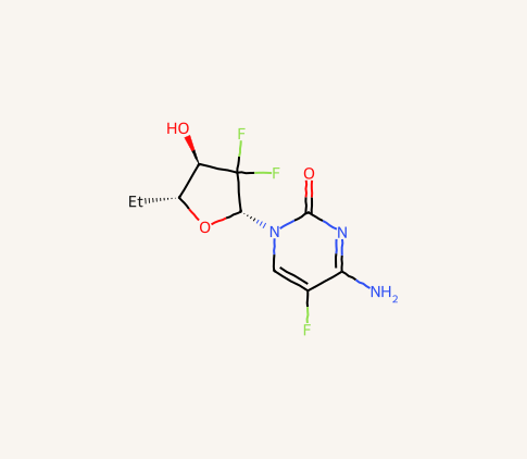 CC[C@H]1O[C@@H](n2cc(F)c(N)nc2=O)C(F)(F)[C@@H]1O